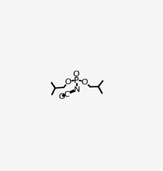 CC(C)COP(=O)(N=C=O)OCC(C)C